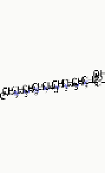 CC(C)=CCC/C(C)=C/CC/C(C)=C/CC/C(C)=C/CC/C(C)=C/CC/C(C)=C/CC/C(C)=C/CC/C(C)=C/CC/C(C)=C/CCC(C)CC(=O)O